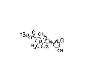 C[C@@H]1CN(c2ncnc3c2C2(CCC2)CN3c2cc(C#N)cc(Cl)n2)[C@@H](C)CN1C(=O)OC(C)(C)C